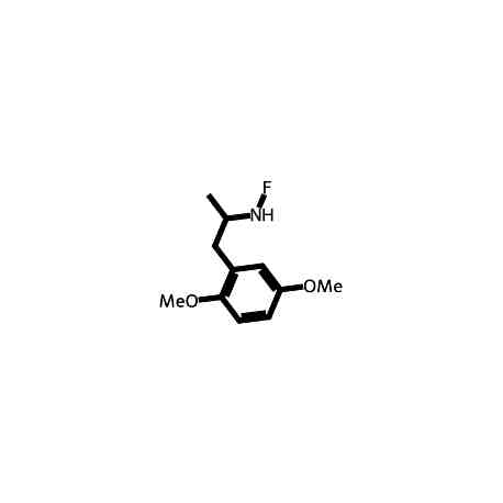 COc1ccc(OC)c(CC(C)NF)c1